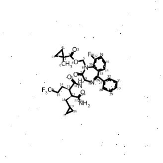 CC1(C(=O)OCN2C(=O)[C@@H](NC(=O)[C@H](CCC(F)(F)F)[C@H](CC3CC3)C(N)=O)N=C(c3ccccc3)c3cccc(F)c32)CC1